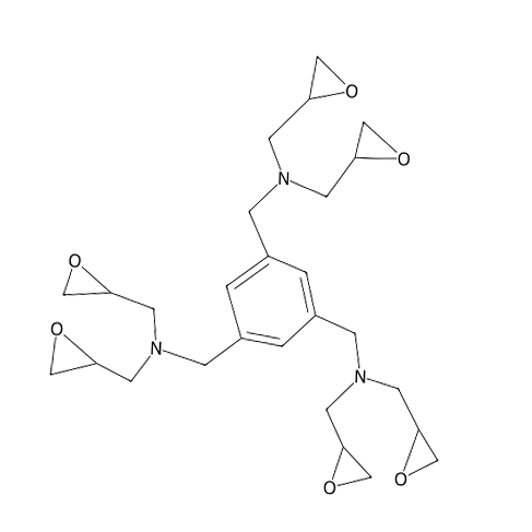 c1c(CN(CC2CO2)CC2CO2)cc(CN(CC2CO2)CC2CO2)cc1CN(CC1CO1)CC1CO1